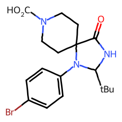 CC(C)(C)C1NC(=O)C2(CCN(C(=O)O)CC2)N1c1ccc(Br)cc1